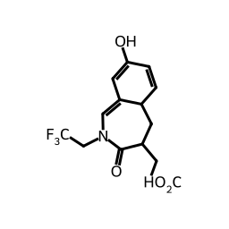 O=C(O)CC1CC2C=CC(O)=CC2=CN(CC(F)(F)F)C1=O